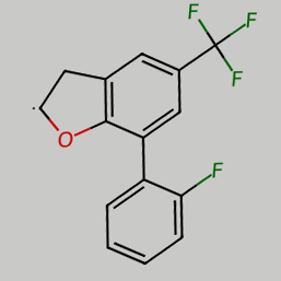 Fc1ccccc1-c1cc(C(F)(F)F)cc2c1O[CH]C2